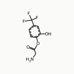 NCC(=O)Oc1ccc(C(F)(F)F)cc1O